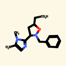 Cn1c([N+](=O)[O-])cnc1C1CC(CC(=O)O)ON1Cc1ccccc1